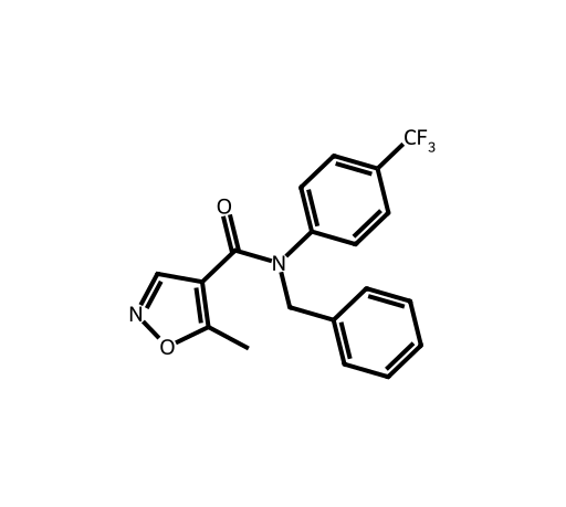 Cc1oncc1C(=O)N(Cc1ccccc1)c1ccc(C(F)(F)F)cc1